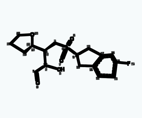 O=CN(O)[C@H](CS(=O)(=O)N1Cc2ccc(F)cc2C1)[C@H]1CCCO1